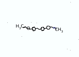 CC=CCOCc1ccc(CCc2ccc(C3CCC(C/C=C/C)CC3)cc2)cc1